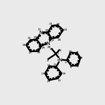 CC(C)(C)N(c1ccccc1)c1ccccc1.c1ccc2nc3ccccc3nc2c1